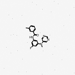 Cc1cccc(C(=O)Nc2cc(F)cc(N(C)c3cncnc3)c2)c1